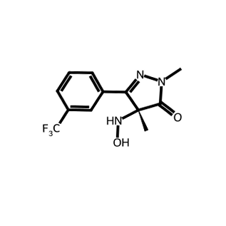 CN1N=C(c2cccc(C(F)(F)F)c2)[C@@](C)(NO)C1=O